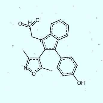 Cc1noc(C)c1-c1c(-c2ccc(O)cc2)c2ccccc2n1C[SH](=O)=O